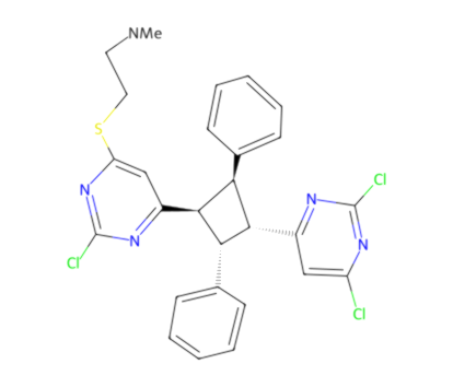 CNCCSc1cc([C@H]2[C@@H](c3ccccc3)[C@H](c3cc(Cl)nc(Cl)n3)[C@@H]2c2ccccc2)nc(Cl)n1